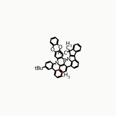 Cc1cc2c3c(c1)N(c1ccc(C(C)(C)C)cc1-c1ccccc1)c1cc4c(cc1B3n1c3c(c5cccc-2c51)-c1ccccc1C3(C)C)Oc1ccccc1O4